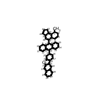 CC1CC=Cc2c(-c3c4ccccc4c(-c4ccc5c(c4)oc4cc6ccccc6cc45)c4ccccc34)cc3c(c21)CC=C3